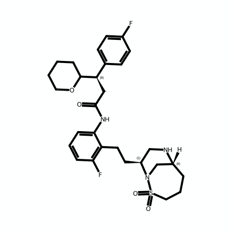 O=C([CH][C@H](c1ccc(F)cc1)C1CCCCO1)Nc1cccc(F)c1CC[C@H]1CN[C@@H]2CCCS(=O)(=O)N1C2